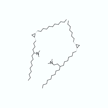 CCCCCCCCCC(CCCCCCC[C@H]1C[C@H]1CCCCCCCC)CCN(C)C.CCCCCCCCCCC[C@H]1C[C@H]1CCCCC(CCCCCCCCC)N(C)C